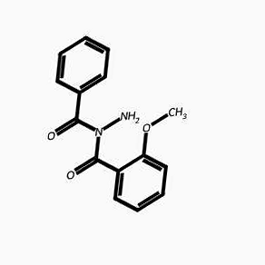 COc1ccccc1C(=O)N(N)C(=O)c1ccccc1